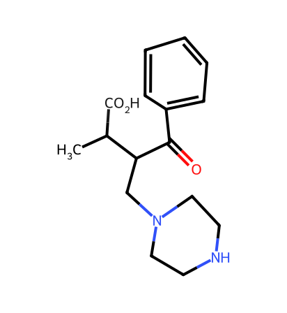 CC(C(=O)O)C(CN1CCNCC1)C(=O)c1ccccc1